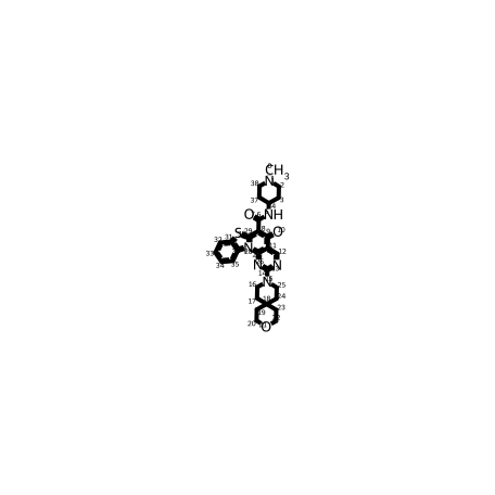 CN1CCC(NC(=O)c2c(=O)c3cnc(N4CCC5(CCOCC5)CC4)nc3n3c2sc2ccccc23)CC1